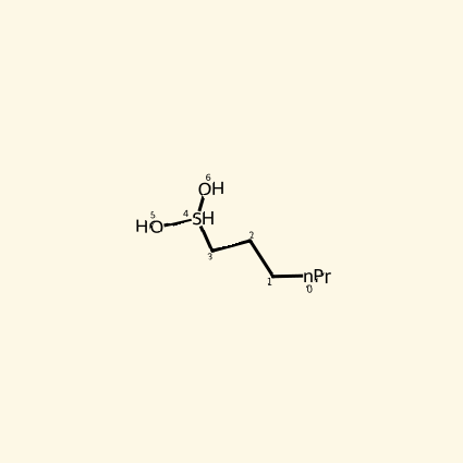 CCCCCC[SH](O)O